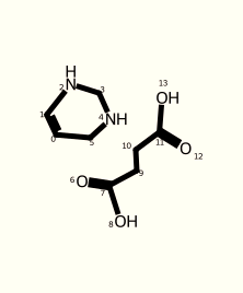 C1=CNCNC1.O=C(O)CCC(=O)O